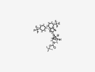 CC(C)(C)OC(=O)N1C[C@@H]2CC[C@]3(C1)[C@H]2N3c1nc2c(-c3ccc(C(F)(F)F)cc3)ccc(C(F)(F)F)n2n1